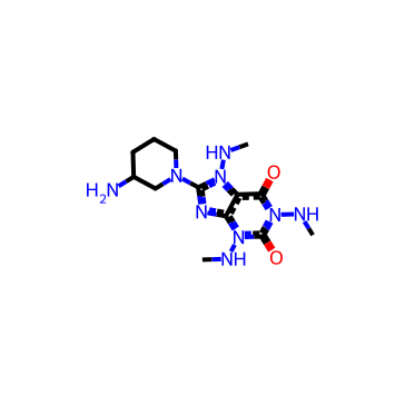 CNn1c(=O)c2c(nc(N3CCCC(N)C3)n2NC)n(NC)c1=O